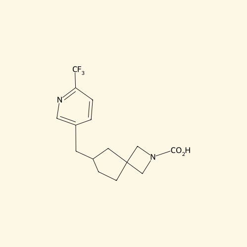 O=C(O)N1CC2(CCC(Cc3ccc(C(F)(F)F)nc3)C2)C1